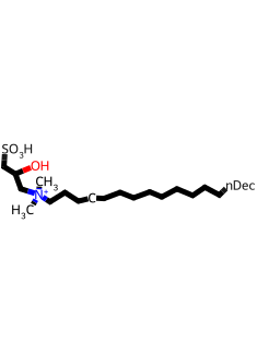 CCCCCCCCCCCCCCCCCCCCCCC[N+](C)(C)CC(O)CS(=O)(=O)O